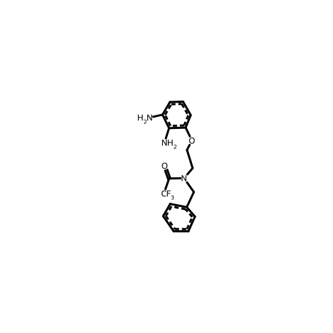 Nc1cccc(OCCN(Cc2ccccc2)C(=O)C(F)(F)F)c1N